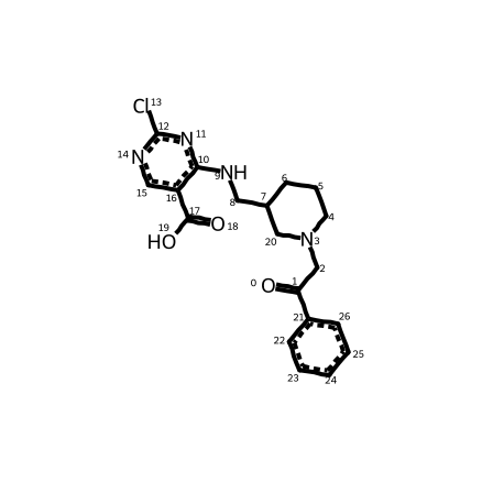 O=C(CN1CCCC(CNc2nc(Cl)ncc2C(=O)O)C1)c1ccccc1